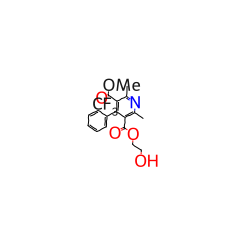 COC(=O)c1c(C)nc(C)c(C(=O)OCCO)c1-c1ccccc1C(F)(F)F